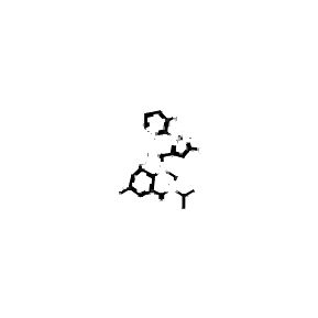 CC(C)N1CN(C(=O)c2cc(Cl)nn2-c2ncccc2Cl)c2c(Cl)cc(Cl)cc2C1=O